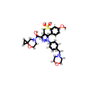 COc1ccc2c(c1)S(=O)(=O)Cc1c(C(=O)N3CCOC4(CC4)C3)nn(-c3ccc(CN4CCOCC4)cc3)c1-2